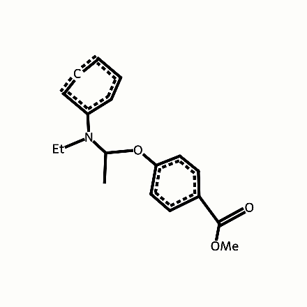 CCN(c1ccccc1)C(C)Oc1ccc(C(=O)OC)cc1